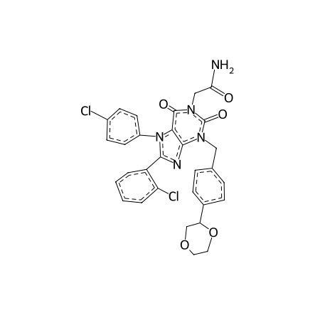 NC(=O)Cn1c(=O)c2c(nc(-c3ccccc3Cl)n2-c2ccc(Cl)cc2)n(Cc2ccc(C3COCCO3)cc2)c1=O